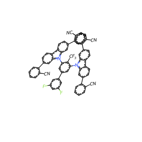 N#Cc1ccccc1-c1ccc2c3ccc(-c4ccccc4C#N)cc3n(-c3cc(-c4cc(F)cc(F)c4)cc(-n4c5cc(-c6ccccc6C#N)ccc5c5ccc(-c6ccccc6C#N)cc54)c3C(F)(F)F)c2c1